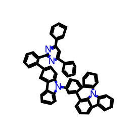 c1ccc(-c2cc(-c3ccccc3)nc(-c3ccccc3-c3ccc4c(c3)c3ccccc3n4-c3cccc(-c4cccc5c6ccccc6n(-c6ccccc6)c45)c3)n2)cc1